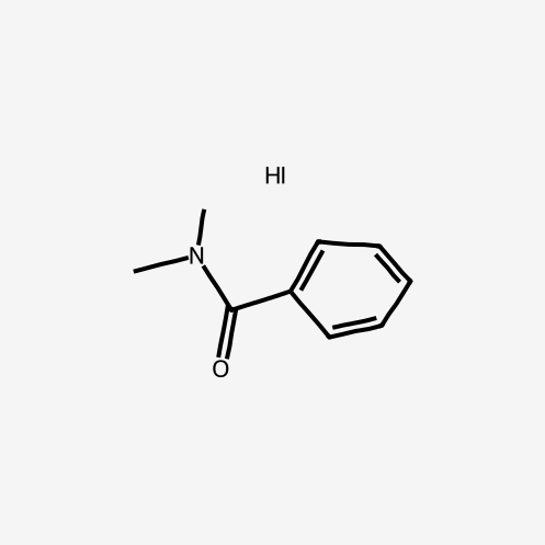 CN(C)C(=O)c1ccccc1.I